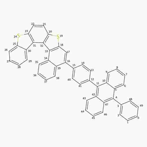 c1ccc(-c2c3ccccc3c(-c3ccc(-c4cc5sc6ccc7sc8ccccc8c7c6c5c5ccccc45)cc3)c3ccccc23)cc1